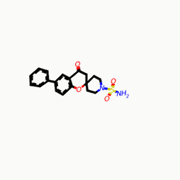 NS(=O)(=O)N1CCC2(CC1)CC(=O)c1cc(-c3ccccc3)ccc1O2